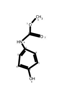 COC(=O)Nc1ccc(O)cc1